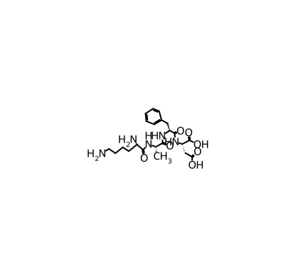 C[C@H](NC(=O)[C@H](N)CCCCN)C(=O)N[C@@H](Cc1ccccc1)C(=O)N[C@@H](CC(=O)O)C(=O)O